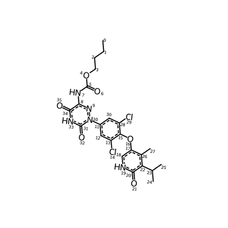 CCCCOC(=O)Nc1nn(-c2cc(Cl)c(Oc3c[nH]c(=O)c(C(C)C)c3C)c(Cl)c2)c(=O)[nH]c1=O